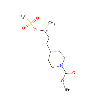 CC(C)OC(=O)N1CCC(CC[C@@H](C)OS(C)(=O)=O)CC1